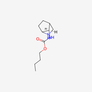 CCCCOC(=O)N[C@@H]1C2CCC1NC2